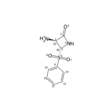 N[C@H]1C(=O)N[C@@H]1S(=O)(=O)c1ccccc1